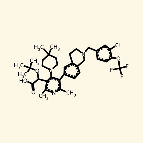 Cc1nc(C)c(C(OC(C)(C)C)C(=O)O)c(N2CCC(C)(C)CC2)c1-c1ccc2c(c1)CCN(Cc1ccc(OC(F)(F)F)c(Cl)c1)C2